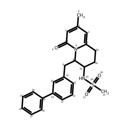 Cc1cc2n(c(=O)c1)C(Cc1cccc(-c3ccccc3)c1)C(NS(C)(=O)=O)CC2